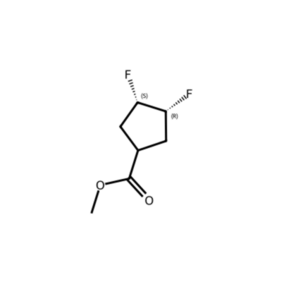 COC(=O)C1C[C@@H](F)[C@@H](F)C1